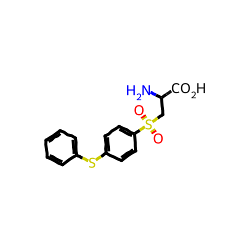 NC(CS(=O)(=O)c1ccc(Sc2ccccc2)cc1)C(=O)O